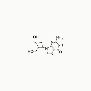 Nc1nc2c(ncn2[C@@H]2CC(CO)[C@@H]2CO)c(=O)[nH]1